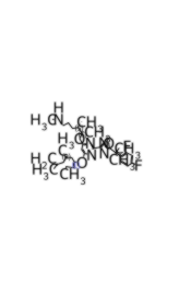 C=C(C)C[C@@H](C)C/C(=C\CC)Oc1cc(O[C@@H](C)[C@@H](C)CCCNC)nc(-c2noc(C(C)(C)c3ccc(F)cc3F)n2)n1